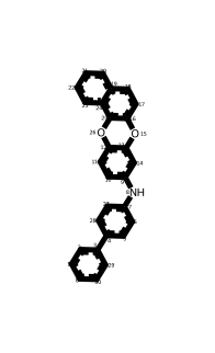 c1ccc(-c2ccc(Nc3ccc4c(c3)Oc3ccc5ccccc5c3O4)cc2)cc1